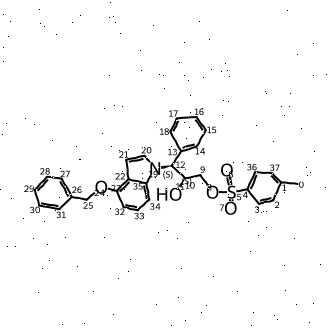 Cc1ccc(S(=O)(=O)OC[C@@H](O)[C@H](c2ccccc2)n2ccc3c(OCc4ccccc4)cccc32)cc1